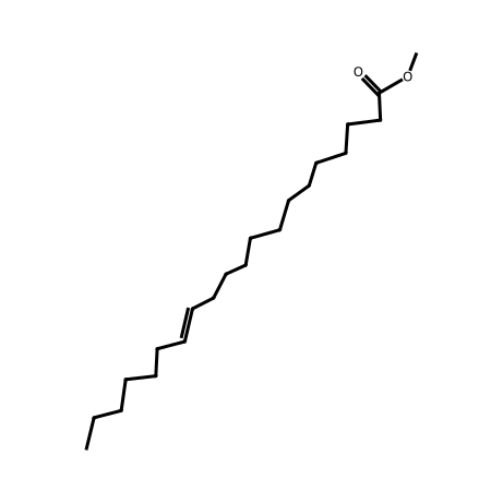 CCCCCCC=CCCCCCCCCCCCC(=O)OC